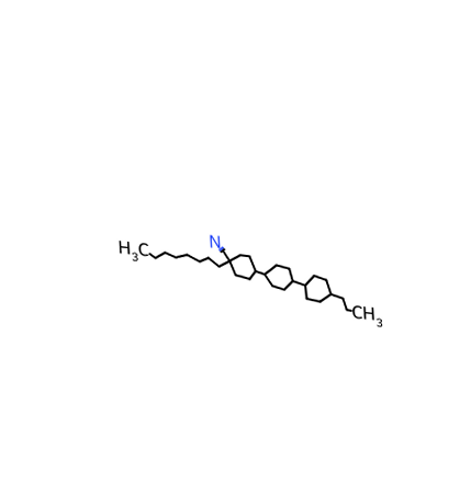 CCCCCCCCC1(C#N)CCC(C2CCC(C3CCC(CCC)CC3)CC2)CC1